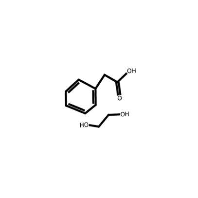 O=C(O)Cc1ccccc1.OCCO